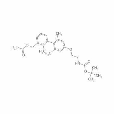 CC(=O)OCc1cccc(-c2c(C)cc(OCCNC(=O)OC(C)(C)C)cc2C)c1C